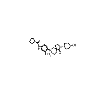 Cc1cc(NC(=O)C2CCCC2)ccc1N1CCCC2(CCN([C@H]3CC[C@H](O)CC3)C2=O)C1